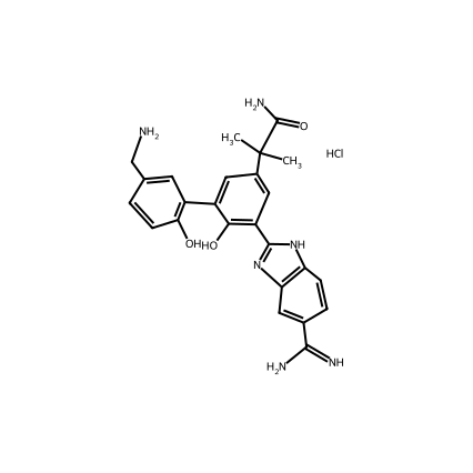 CC(C)(C(N)=O)c1cc(-c2nc3cc(C(=N)N)ccc3[nH]2)c(O)c(-c2cc(CN)ccc2O)c1.Cl